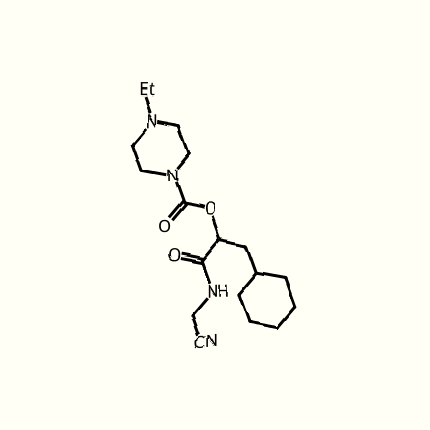 CCN1CCN(C(=O)OC(CC2CCCCC2)C(=O)NCC#N)CC1